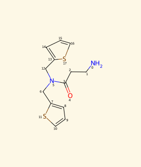 NCCC(=O)N(Cc1cccs1)Cc1cccs1